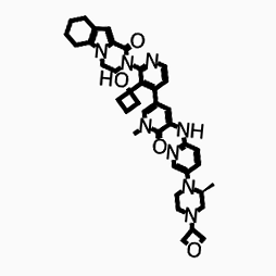 C[C@H]1CN(C2COC2)CCN1c1ccc(Nc2cc(-c3ccnc(N4CCn5c(cc6c5CCCC6)C4=O)c3C3(O)CCC3)cn(C)c2=O)nc1